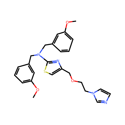 COc1cccc(CN(Cc2cccc(OC)c2)c2nc(COCCn3ccnc3)cs2)c1